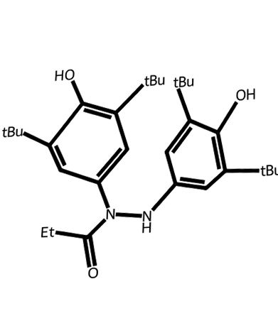 CCC(=O)N(Nc1cc(C(C)(C)C)c(O)c(C(C)(C)C)c1)c1cc(C(C)(C)C)c(O)c(C(C)(C)C)c1